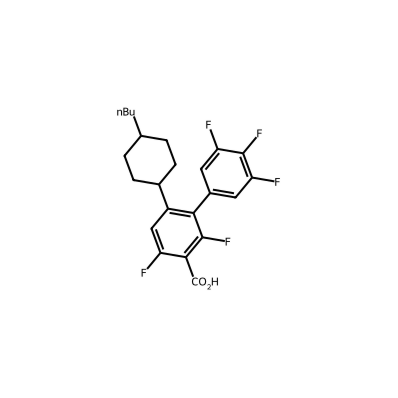 CCCCC1CCC(c2cc(F)c(C(=O)O)c(F)c2-c2cc(F)c(F)c(F)c2)CC1